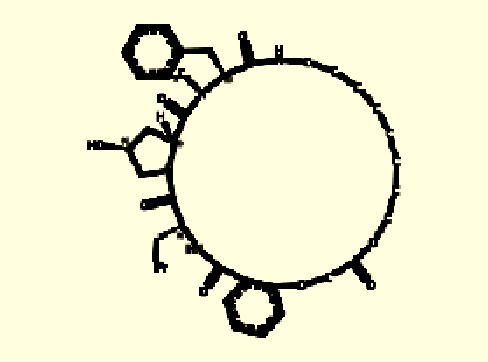 CC(C)C[C@H]1NC(=O)c2ccccc2OCC(=O)OCCCCCCCCNC(=O)[C@H](Cc2ccccc2)N(C)C(=O)[C@H]2C[C@H](O)CN2C1=O